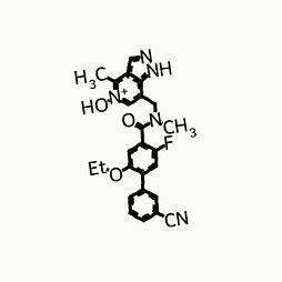 CCOc1cc(C(=O)N(C)Cc2c[n+](O)c(C)c3cn[nH]c23)c(F)cc1-c1cccc(C#N)c1